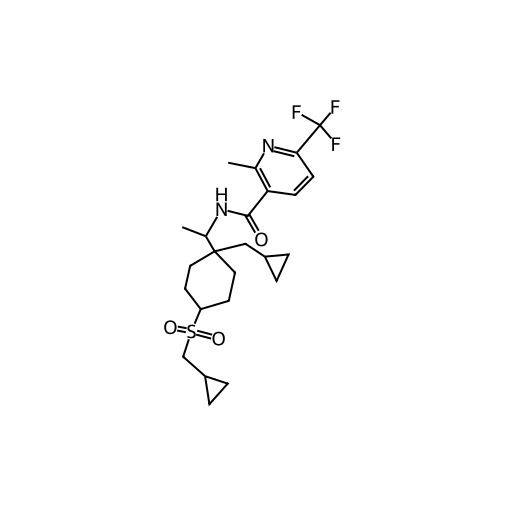 Cc1nc(C(F)(F)F)ccc1C(=O)NC(C)C1(CC2CC2)CCC(S(=O)(=O)CC2CC2)CC1